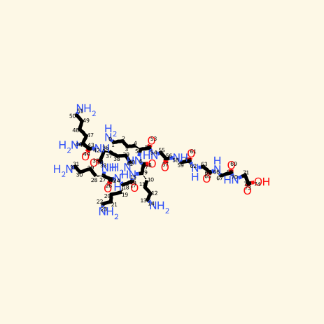 NCCCC[C@H](NC(=O)[C@H](CCCCN)NC(=O)[C@H](CCCCN)NC(=O)[C@H](CCCCN)NC(=O)[C@H](CCCCN)NC(=O)[C@@H](N)CCCCN)C(=O)NCC(=O)NCC(=O)NCC(=O)NCC(=O)NCC(=O)O